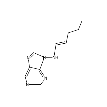 CCCC=CNn1cnc2cncnc21